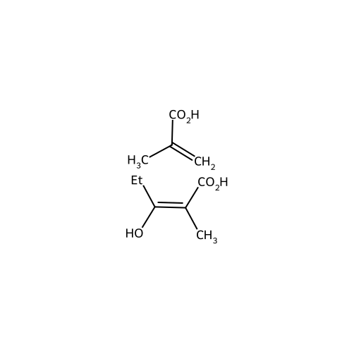 C=C(C)C(=O)O.CC/C(O)=C(/C)C(=O)O